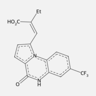 CCC(=Cc1ccc2c(=O)[nH]c3cc(C(F)(F)F)ccc3n12)C(=O)O